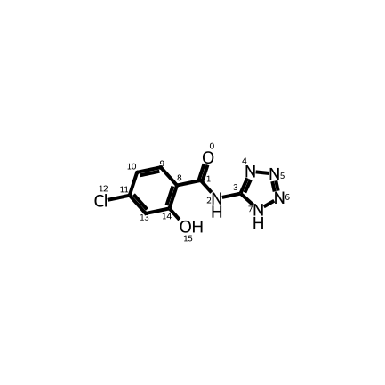 O=C(Nc1nnn[nH]1)c1ccc(Cl)cc1O